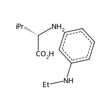 CC(C)[C@H](N)C(=O)O.CCNc1ccccc1